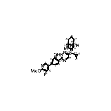 COc1ncc(-c2ccc(-c3ncc(N(C4CC4)[C@H]4C[C@@H]5CCC[C@@H](N5)[C@H]4F)nn3)c(O)c2)cc1F